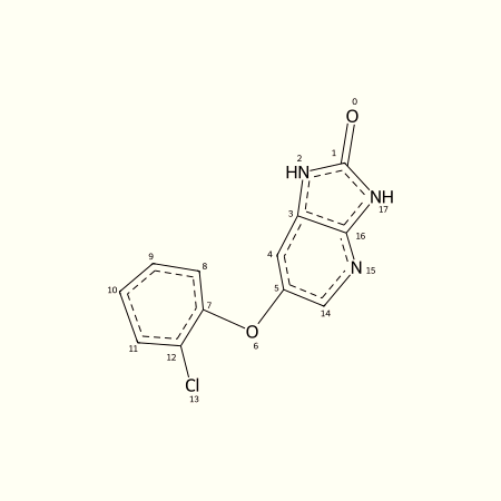 O=c1[nH]c2cc(Oc3ccccc3Cl)cnc2[nH]1